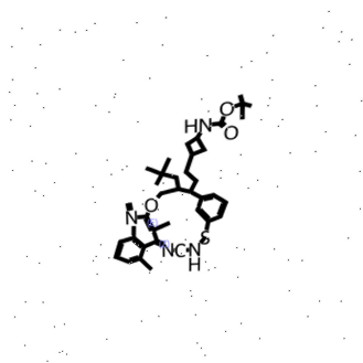 C=N/C1=C(C)\C(c2c(C)cccc2C)=N/CNSc2cccc(c2)C(CCC2CC(NC(=O)OC(C)(C)C)C2)C(CC(C)(C)C)CO1